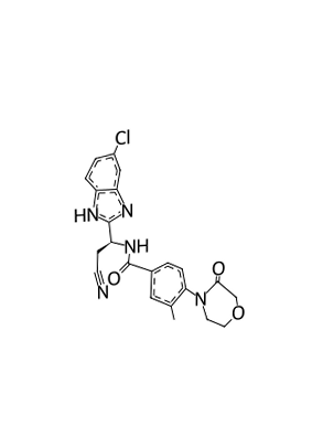 Cc1cc(C(=O)N[C@@H](CC#N)c2nc3cc(Cl)ccc3[nH]2)ccc1N1CCOCC1=O